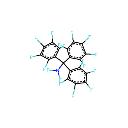 Fc1c(F)c(F)c(C(c2c(F)c(F)c(F)c(F)c2F)(c2c(F)c(F)c(F)c(F)c2F)N(F)F)c(F)c1F